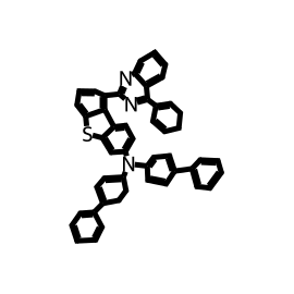 C1=CC(c2nc(-c3cccc4sc5cc(N(C6=CC=C(c7ccccc7)CC6)c6ccc(-c7ccccc7)cc6)ccc5c34)nc3ccccc23)=CCC1